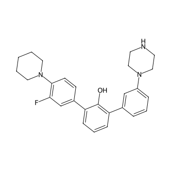 Oc1c(-c2cccc(N3CCNCC3)c2)cccc1-c1ccc(N2CCCCC2)c(F)c1